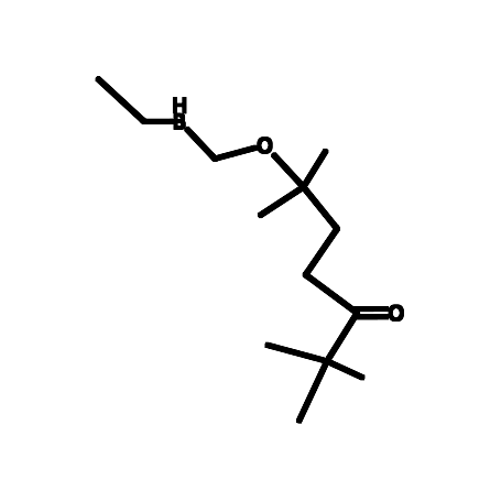 CCBCOC(C)(C)CCC(=O)C(C)(C)C